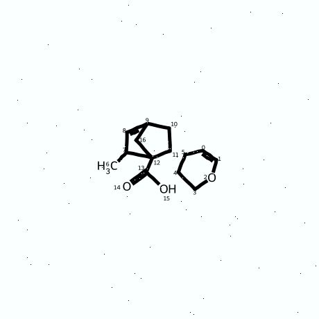 C1=COCCC1.CC1C=C2CCC1(C(=O)O)C2